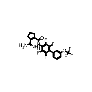 N=C(N)C1=C(C(=O)Nc2c(F)c(F)c(-c3cccc(OC(F)(F)F)c3)c(F)c2F)CCC1